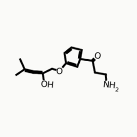 CC(C)=C=C(O)COc1cccc(C(=O)CCN)c1